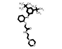 CC(C)(C)c1cc(S[C@@H]2CCCC[C@H]2SCC(=O)NCCN2CCOCC2)cc(C(C)(C)C)c1